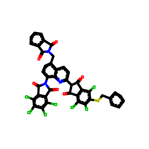 O=C1c2c(Cl)c(Cl)c(SCc3ccccc3)c(Cl)c2C(=O)C1c1ccc2c(CN3C(=O)c4ccccc4C3=O)ccc(N3C(=O)c4c(Cl)c(Cl)c(Cl)c(Cl)c4C3=O)c2n1